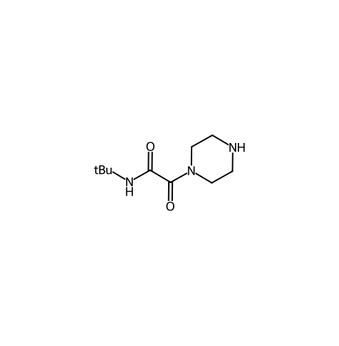 CC(C)(C)NC(=O)C(=O)N1CCNCC1